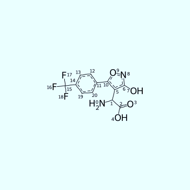 NC(C(=O)O)c1c(O)noc1-c1ccc(C(F)(F)F)cc1